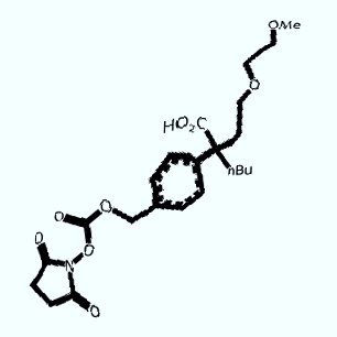 CCCCC(CCOCCOC)(C(=O)O)c1ccc(COC(=O)ON2C(=O)CCC2=O)cc1